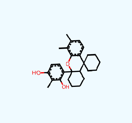 Cc1ccc2c(c1C)OC1(c3ccc(O)c(C)c3O)CCCCC1C21CCCCC1